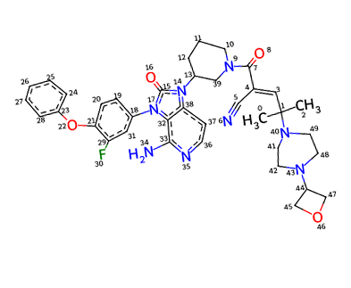 CC(C)(C=C(C#N)C(=O)N1CCCC(n2c(=O)n(-c3ccc(Oc4ccccc4)c(F)c3)c3c(N)nccc32)C1)N1CCN(C2COC2)CC1